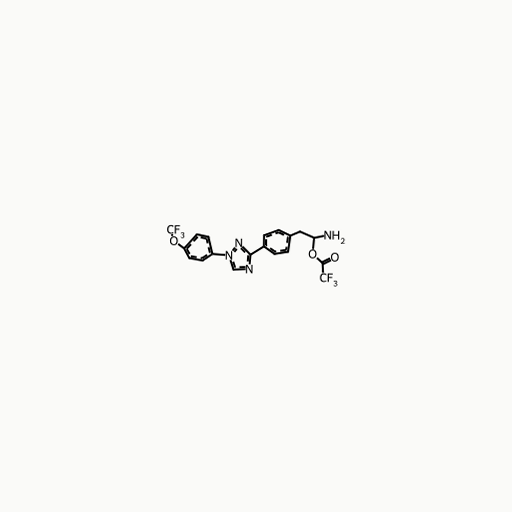 NC(Cc1ccc(-c2ncn(-c3ccc(OC(F)(F)F)cc3)n2)cc1)OC(=O)C(F)(F)F